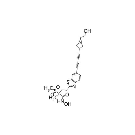 CC(CCc1nc2ccc(C#CC#CC3CN(CCO)C3)cc2s1)(C(=O)NO)S(C)(=O)=O